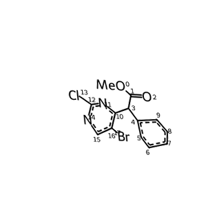 COC(=O)C(c1ccccc1)c1nc(Cl)ncc1Br